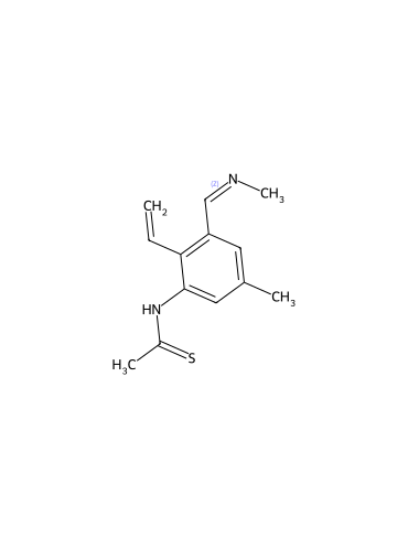 C=Cc1c(/C=N\C)cc(C)cc1NC(C)=S